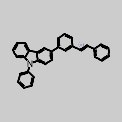 C(=C\c1cccc(-c2ccc3c(c2)c2ccccc2n3-c2ccccc2)c1)/c1ccccc1